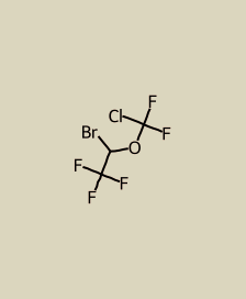 FC(F)(Cl)OC(Br)C(F)(F)F